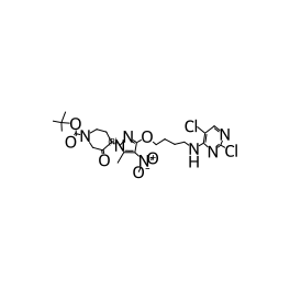 Cc1c([N+](=O)[O-])c(OCCCCNc2nc(Cl)ncc2Cl)nn1[C@@H]1CCN(C(=O)OC(C)(C)C)CC1=O